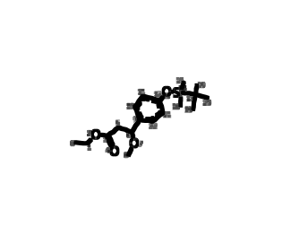 CCOC(=O)CC(OC)c1ccc(O[Si](C)(C)C(C)(C)C)cc1